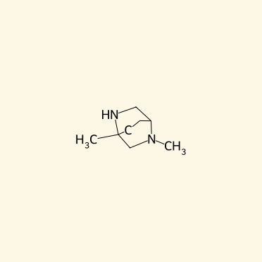 CN1CC2(C)CCC1CN2